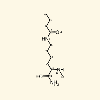 CCCC(=O)NCCCCC(NC)C(N)=O